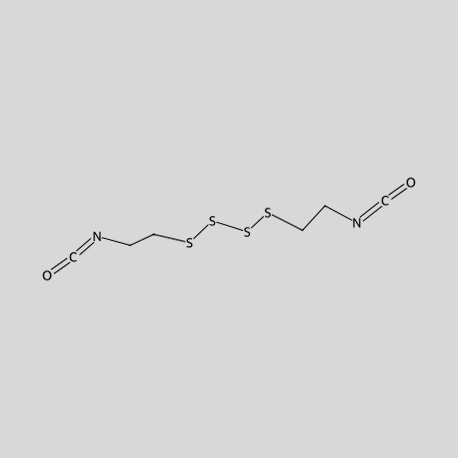 O=C=NCCSSSSCCN=C=O